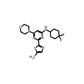 Cc1cnc(-c2nc(NC3CCC(F)(F)CC3)cc(N3CCOCC3)n2)s1